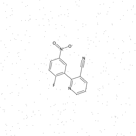 N#Cc1cccnc1-c1cc([N+](=O)[O-])ccc1F